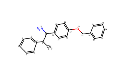 CC(c1ccccc1)C(N)c1ccc(OCc2ccccc2)cc1